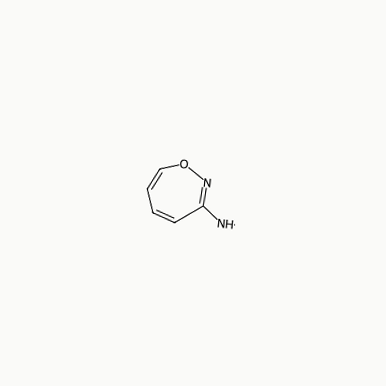 [NH]C1=NOC=CC=C1